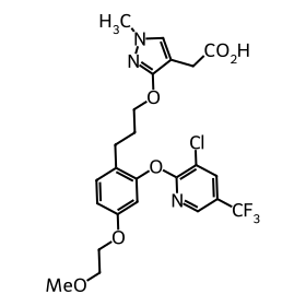 COCCOc1ccc(CCCOc2nn(C)cc2CC(=O)O)c(Oc2ncc(C(F)(F)F)cc2Cl)c1